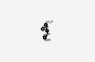 COc1cccc(CNC(=O)c2ccc(-c3nc4cc(C(=O)O)ccc4n3C3CCCCC3)cc2)c1